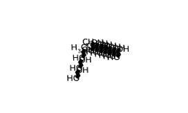 C=C(C)C(=O)O.OCCO.OCCO.OCCO.OCCO.OCCO.OCCO.OCCO.OCCO.OCCO.OCCO